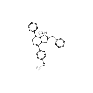 O=C(O)C12CN(Cc3ccccc3)CC1C(c1ccc(OC(F)(F)F)cc1)=CCC2c1ccccc1